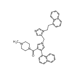 CN1CCN(C(=O)c2cn(Cc3cncn3CCc3cccc4ccccc34)cc2-c2cccc3ccccc23)CC1